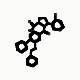 O=C(O)C1CCC(c2ccccc2Cl)N1C(=O)c1ccc(-c2ccccc2)c(OCc2ccccc2)c1